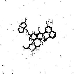 C#Cc1cccc2cc(O)cc(-c3nc4c5c(nc(OC[C@@]67CCCN6C[C@H](F)C7)nc5c3F)N3CC(CC)NC[C@H]3CO4)c12